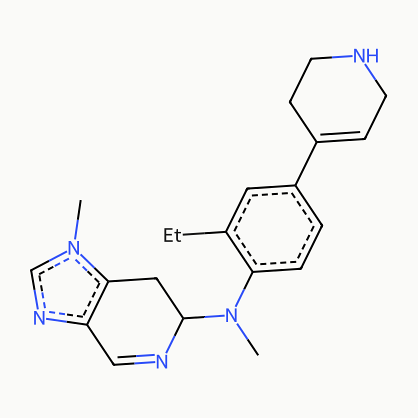 CCc1cc(C2=CCNCC2)ccc1N(C)C1Cc2c(ncn2C)C=N1